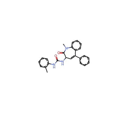 Cc1ccccc1NC(=O)NC1C=C(c2ccccc2)c2ccccc2N(C)C1=O